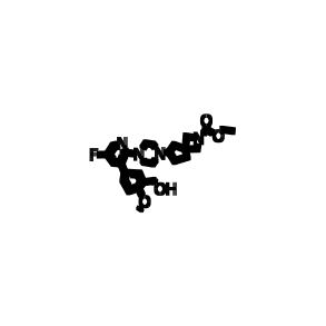 CCOC(=O)N1CC2(CCC(N3CCN(c4ncc(F)cc4-c4ccc(OC)c(CO)c4)CC3)C2)C1